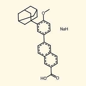 COc1ccc(-c2ccc3cc(C(=O)O)ccc3c2)cc1C12CC3CC(CC(C3)C1)C2.[NaH]